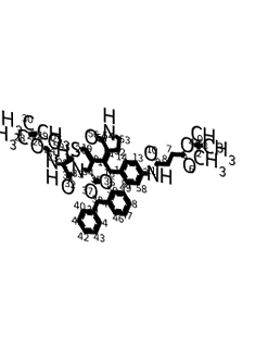 CC(C)(C)OC(=O)CCC(=O)Nc1ccc(CC(C2=CS[C@@H]3[C@H](NC(=O)OC(C)(C)C)C(=O)N3[C@H]2C(=O)OC(c2ccccc2)c2ccccc2)=C2CCNC2=O)cc1